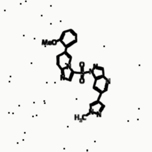 COc1ccccc1-c1ccc2ncc(S(=O)(=O)n3ncc4ncc(-c5cnn(C)c5)cc43)n2c1